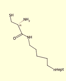 CCCCCCCCCCCCNC(=O)[C@@H](N)CS